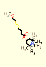 COCCSSCCCC(=O)OC1CC(C)(C)N(C)C(C)(C)C1